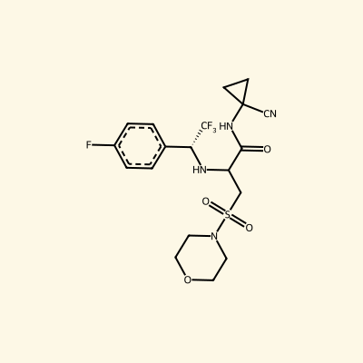 N#CC1(NC(=O)C(CS(=O)(=O)N2CCOCC2)N[C@H](c2ccc(F)cc2)C(F)(F)F)CC1